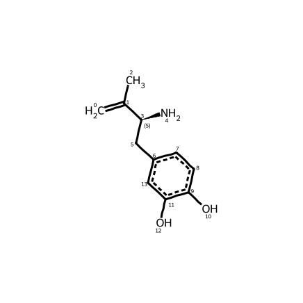 C=C(C)[C@@H](N)Cc1ccc(O)c(O)c1